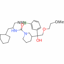 CNCC(CC1CCCCC1)NC(=O)N1CCCC(C(O)(COCCOC)c2cccc(Cl)c2)C1